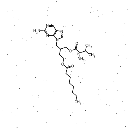 CCCCCCCC(=O)OCCC(COC(=O)[C@@H](N)C(C)C)Cn1cnc2cnc(N)nc21